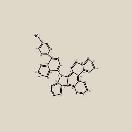 N#Cc1ccc(-c2ccc(-n3c4ccccc4c4c5ccccc5c5c6ccccc6ccc5c43)c3ccccc23)cc1